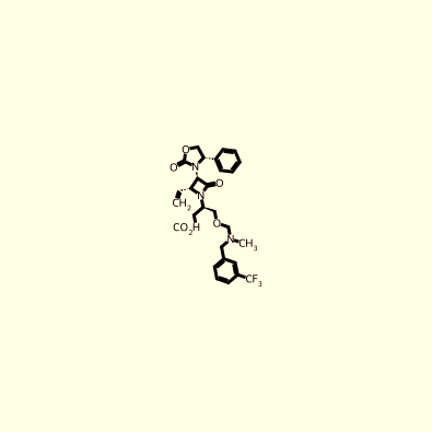 C=C[C@@H]1[C@H](N2C(=O)OC[C@@H]2c2ccccc2)C(=O)N1[C@@H](COCN(C)Cc1cccc(C(F)(F)F)c1)CC(=O)O